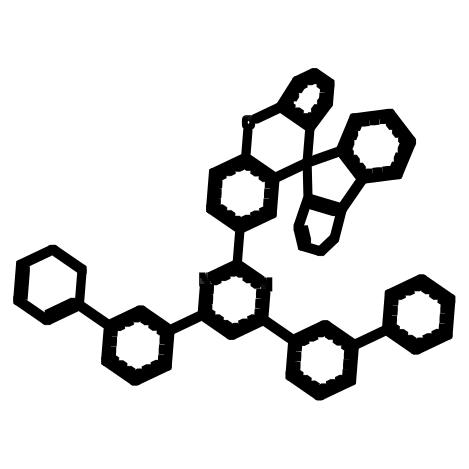 C1=CCCC(c2cccc(-c3cc(-c4cccc(-c5ccccc5)c4)nc(-c4ccc5c(c4)C4(C6=C(CCC=C6)c6ccccc64)c4ccccc4O5)n3)c2)=C1